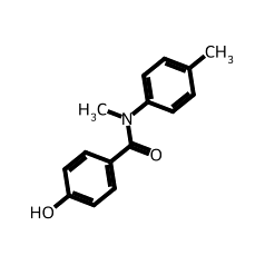 Cc1ccc(N(C)C(=O)c2ccc(O)cc2)cc1